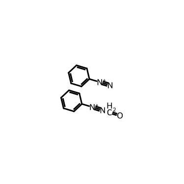 C=O.N#[N+]c1ccccc1.N#[N+]c1ccccc1